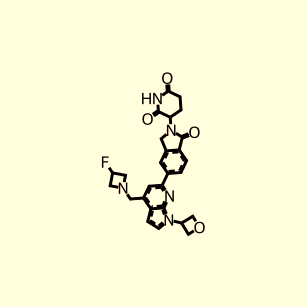 O=C1CCC(N2Cc3cc(-c4cc(CN5CC(F)C5)c5ccn(C6COC6)c5n4)ccc3C2=O)C(=O)N1